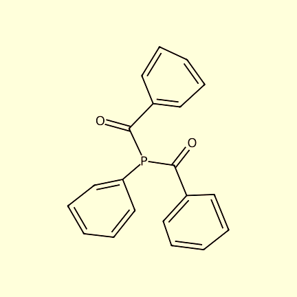 O=C(c1ccccc1)P(C(=O)c1ccccc1)c1ccccc1